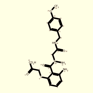 Nc1cccc(SCC(=O)C(=O)O)c1C(=O)N(N)CC(=O)NCc1ccc(OC(F)(F)F)cc1